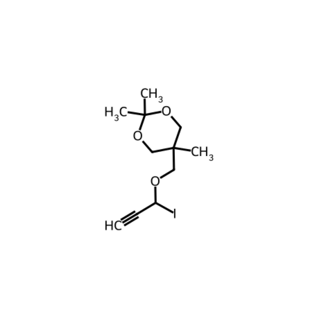 C#CC(I)OCC1(C)COC(C)(C)OC1